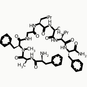 CC(C)C[C@H](NC(=O)CNC(=O)[C@H](Cc1ccccc1)N(C)C(=O)[C@H](C)NC(=O)[C@@H](N)Cc1ccccc1)C(=O)N[C@@H](C)C(=O)N[C@H](C(=O)N[C@@H](Cc1ccccc1)C(N)=O)C(C)C